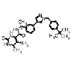 C=C1NC(=O)NC(C(=O)N[C@H](C)c2cccc(-c3cnn(Cc4ccc(C(C)(C)C)cc4)c3)c2)=C1N